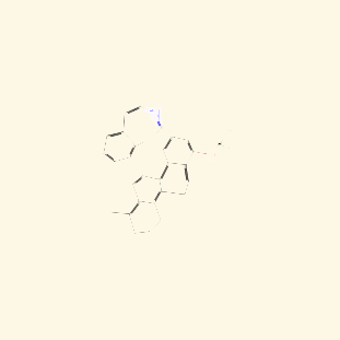 C1=Cc2ccccc2CC=N1.CC1=c2ccc3c(c2CCC1)CC=c1c(OC(F)(F)F)cccc1=3